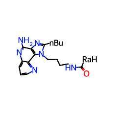 CCCCc1nc2c(N)nc3cccnc3c2n1CCCCN[C](=O)[RaH]